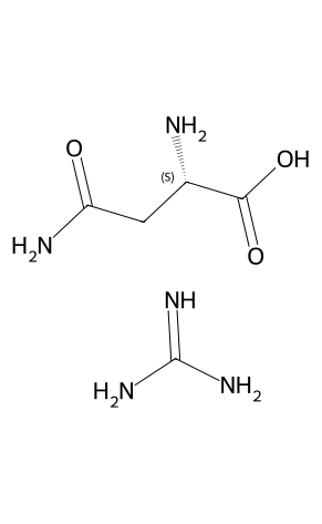 N=C(N)N.NC(=O)C[C@H](N)C(=O)O